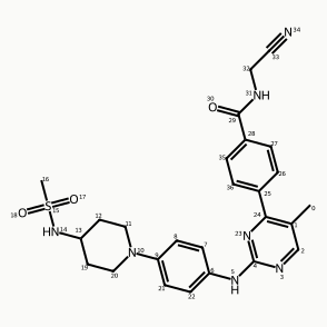 Cc1cnc(Nc2ccc(N3CCC(NS(C)(=O)=O)CC3)cc2)nc1-c1ccc(C(=O)NCC#N)cc1